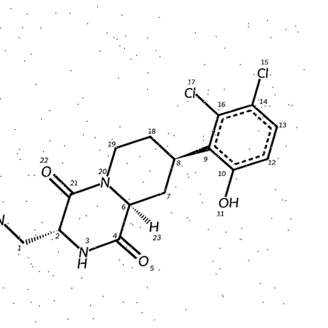 NC[C@H]1NC(=O)[C@@H]2C[C@H](c3c(O)ccc(Cl)c3Cl)CCN2C1=O